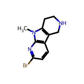 Cn1c2c(c3ccc(Br)nc31)CNCC2